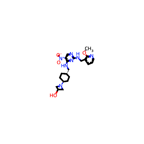 COc1ncccc1CNc1ncc([N+](=O)[O-])c(NC[C@H]2CC[C@H](N3CC(O)C3)CC2)n1